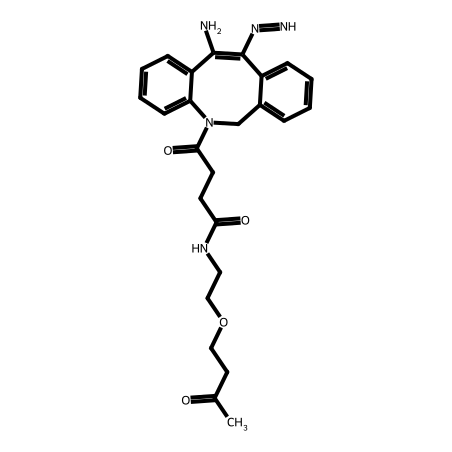 CC(=O)CCOCCNC(=O)CCC(=O)N1Cc2ccccc2/C(N=N)=C(/N)c2ccccc21